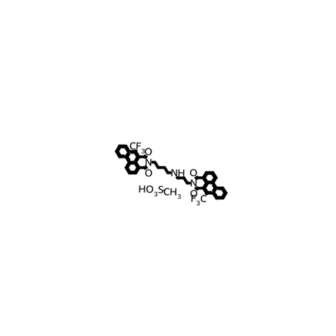 CS(=O)(=O)O.O=C1c2cccc3c2c(c(C(F)(F)F)c2ccccc23)C(=O)N1CCCCNCCCN1C(=O)c2cccc3c2c(c(C(F)(F)F)c2ccccc23)C1=O